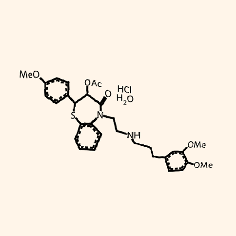 COc1ccc(C2Sc3ccccc3N(CCNCCCc3ccc(OC)c(OC)c3)C(=O)C2OC(C)=O)cc1.Cl.O